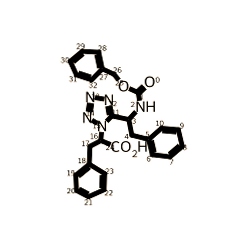 O=C(NC(Cc1ccccc1)c1nnnn1C(Cc1ccccc1)C(=O)O)OCc1ccccc1